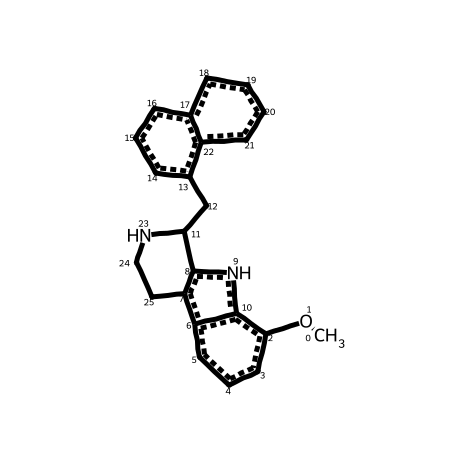 COc1cccc2c3c([nH]c12)C(Cc1cccc2ccccc12)NCC3